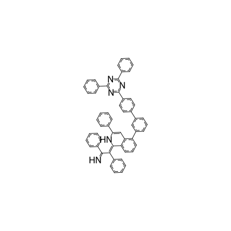 N=C(/C(=C1\NC(c2ccccc2)=Cc2c1cccc2-c1cccc(-c2ccc(-c3nc(-c4ccccc4)nc(-c4ccccc4)n3)cc2)c1)c1ccccc1)c1ccccc1